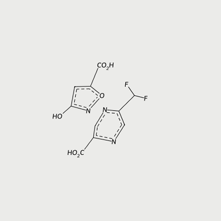 O=C(O)c1cc(O)no1.O=C(O)c1cnc(C(F)F)cn1